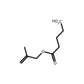 C=C(C)COC(=O)CCCC(=O)O